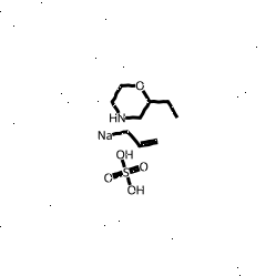 C=C[CH2][Na].CCC1CNCCO1.O=S(=O)(O)O